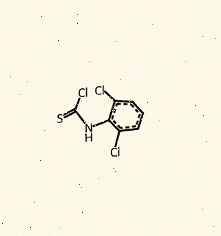 S=C(Cl)Nc1c(Cl)cccc1Cl